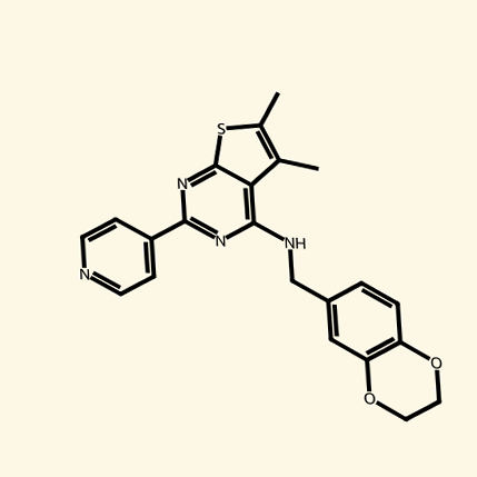 Cc1sc2nc(-c3ccncc3)nc(NCc3ccc4c(c3)OCCO4)c2c1C